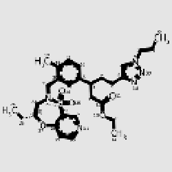 CCCn1cc(CCC(CC(=O)OCC)c2ccc(C)c(CN3C[C@@H](CC)Oc4ccncc4S3(=O)=O)c2)nn1